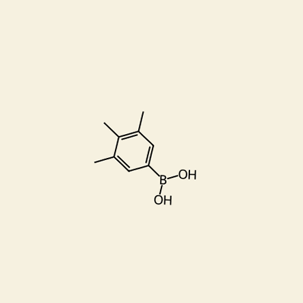 Cc1cc(B(O)O)cc(C)c1C